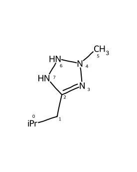 CC(C)CC1=NN(C)NN1